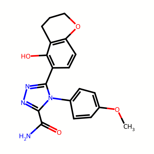 COc1ccc(-n2c(C(N)=O)nnc2-c2ccc3c(c2O)CCCO3)cc1